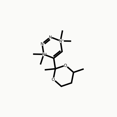 CC1CCOC(C)(C2=C[N+](C)(C)N=N[N+]2(C)C)O1